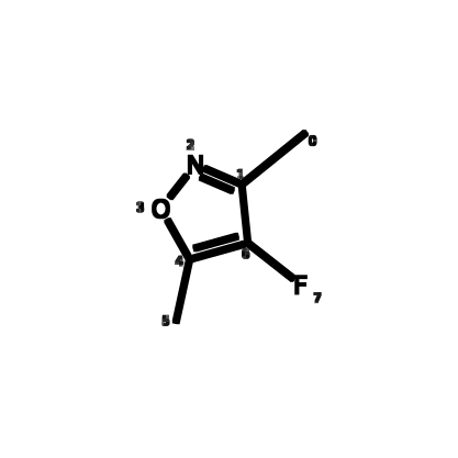 Cc1noc(C)c1F